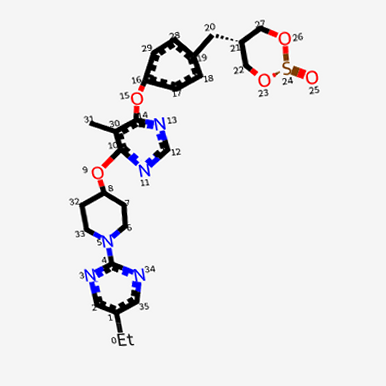 CCc1cnc(N2CCC(Oc3ncnc(Oc4ccc(C[C@H]5CO[S@@](=O)OC5)cc4)c3C)CC2)nc1